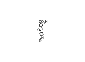 O=C(O)c1ccc(OC(=O)c2ccc(N=C=S)cc2)cc1